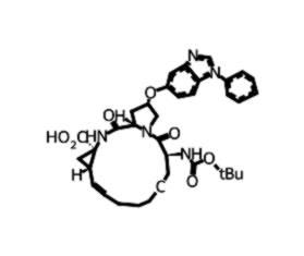 CC(C)(C)OC(=O)N[C@H]1CCCCC/C=C\[C@@H]2C[C@@]2(C(=O)O)NC(=O)[C@@H]2C[C@@H](Oc3ccc4c(c3)ncn4-c3ccccc3)CN2C1=O